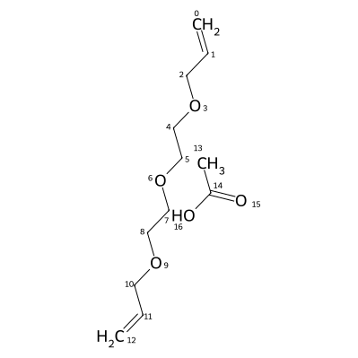 C=CCOCCOCCOCC=C.CC(=O)O